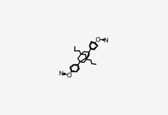 CCCC12CC3(CCC)CC(c4ccc(OC#N)cc4)(C1)CC(c1ccc(OC#N)cc1)(C2)C3